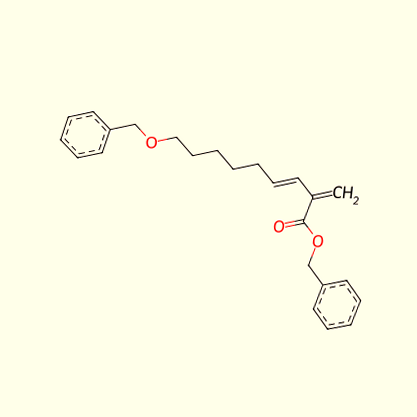 C=C(/C=C/CCCCCOCc1ccccc1)C(=O)OCc1ccccc1